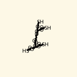 O=C(CCS)OCCC(CCOC(=O)CCS)OCCOC(=O)CCCCCOCOC(CCOCCCS)CCOC(=O)CCS